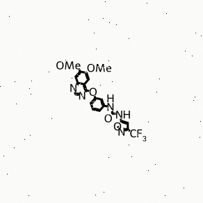 COc1cc2ncnc(Oc3cccc(NC(=O)Nc4cc(C(F)(F)F)no4)c3)c2cc1OC